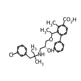 Cc1c(C(=O)O)ccc(-c2ccccc2)c1C(C)OC[C@H](O)CNC(C)(C)Cc1cccc(Cl)c1